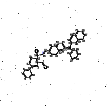 O=Cc1cc(-c2ccccc2)ccc1C(=O)/C=C/c1ccc2cc(N(c3ccccc3)c3ccc4ccccc4c3)ccc2c1